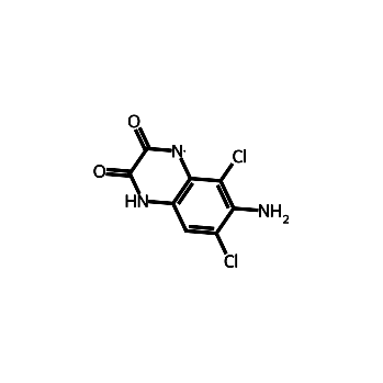 Nc1c(Cl)cc2c(c1Cl)[N]C(=O)C(=O)N2